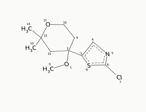 COC1(c2cnc(Cl)s2)CCOC(C)(C)C1